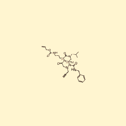 C#CCN1CC(=O)N2[C@@H](CCCNC(=O)OCC=C)C(=O)N(CC(C)C)C[C@@H]2N1C(=O)NCc1ccccc1